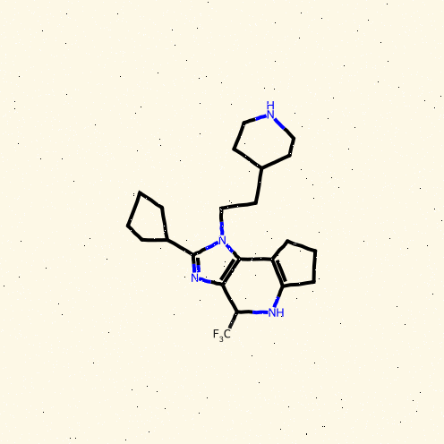 FC(F)(F)C1NC2=C(CCC2)c2c1nc(C1CCCC1)n2CCC1CCNCC1